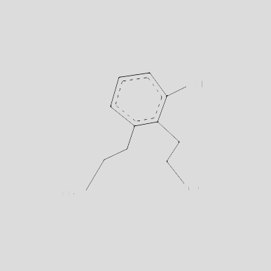 CCCCCCCCCCCCc1cccc(O)c1CCCCCCCCCCCC